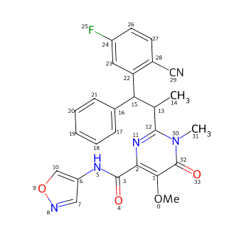 COc1c(C(=O)Nc2cnoc2)nc(C(C)C(c2ccccc2)c2cc(F)ccc2C#N)n(C)c1=O